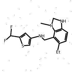 CCc1ccc2c(c1CNc1csc(C(F)F)c1)N(C)CN2